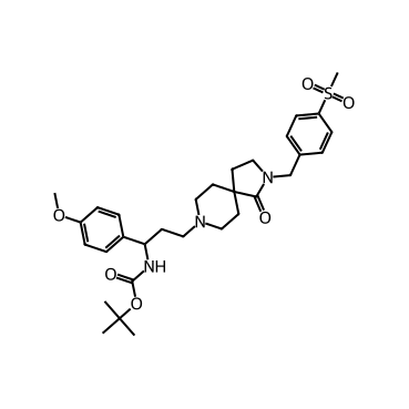 COc1ccc(C(CCN2CCC3(CC2)CCN(Cc2ccc(S(C)(=O)=O)cc2)C3=O)NC(=O)OC(C)(C)C)cc1